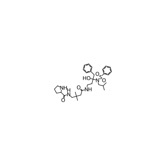 CC(C)CN(C(O)(CCNC(=O)CC(C)(C)CNC(=O)C1CCCN1)Cc1ccccc1)S(=O)(=O)c1ccccc1